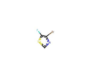 Fc1s[c]nc1Br